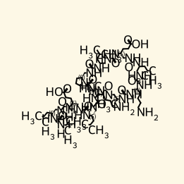 CNC(=O)NC[C@H](C)NC(=O)NC[C@H](CCCCN)NC(=O)NCC(CC(C)C)NC(=O)NC[C@H](CCC(=O)O)NC(=O)NCC(CC(C)C)NC(=O)NC[C@@H]1CCCN1C(=O)NC[C@H](CCCCN)NC(=O)NC[C@H](CC(C)C)NC(=O)NC[C@H](CCC(=O)O)NC(=O)NC[C@H](CC(C)C)NC(=O)NC(C)C